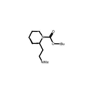 CNCCC1CCCCN1C(=O)OC(C)(C)C